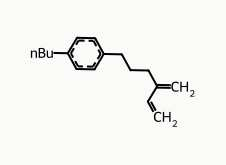 C=CC(=C)CCCc1ccc(CCCC)cc1